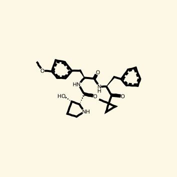 COc1ccc(C[C@H](NC(=O)[C@@H]2NCC[C@@H]2O)C(=O)N[C@@H](Cc2ccccc2)C(=O)C2(C)CC2)cc1